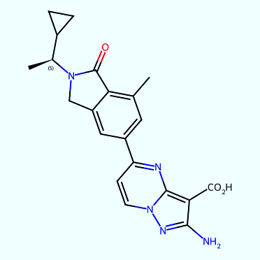 Cc1cc(-c2ccn3nc(N)c(C(=O)O)c3n2)cc2c1C(=O)N([C@@H](C)C1CC1)C2